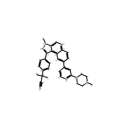 CN1CCN(c2cc(-c3ccc4ncc5c(c(-c6ccc(C(C)(C)C#N)cc6)nn5C)c4c3)ccn2)CC1